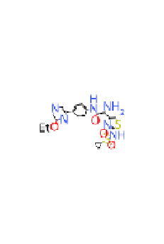 CCOc1cncc(-c2ccc(NC(=O)C(N)c3csc(NS(=O)(=O)C4CC4)n3)cc2)n1